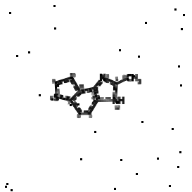 Cc1nc2c(ccc3sccc32)[nH]1